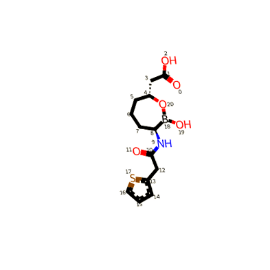 O=C(O)C[C@H]1CCC[C@H](NC(=O)Cc2cccs2)B(O)O1